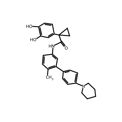 Cc1ccc(NC(=O)C2(c3ccc(O)c(O)c3)CC2)cc1-c1ccc(N2CCCCC2)cc1